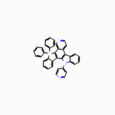 c1ccc([Si]2(c3ccccc3)c3ccccc3-c3c2c2cnccc2c2c4ccccc4n(-c4ccncc4)c32)cc1